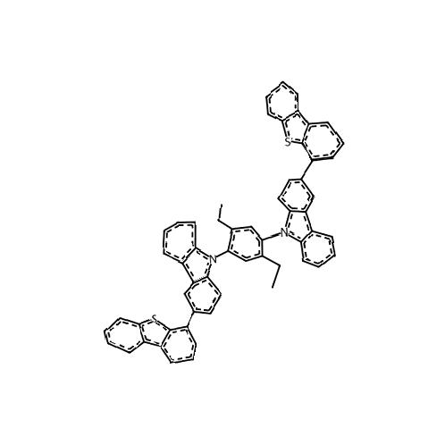 CCc1cc(-n2c3ccccc3c3cc(-c4cccc5c4sc4ccccc45)ccc32)c(CC)cc1-n1c2ccccc2c2cc(-c3cccc4c3sc3ccccc34)ccc21